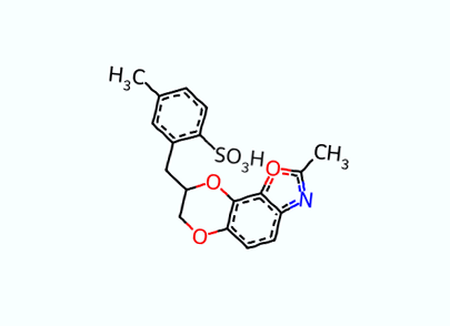 Cc1ccc(S(=O)(=O)O)c(CC2COc3ccc4nc(C)oc4c3O2)c1